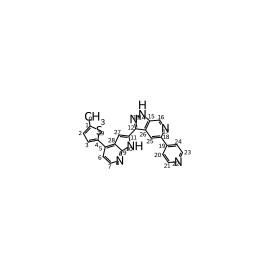 Cc1ccc(-c2ccnc3[nH]c(-c4n[nH]c5cnc(-c6ccncc6)cc45)cc23)s1